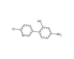 Nc1ccc(-c2ccc(Cl)nc2)c(O)c1